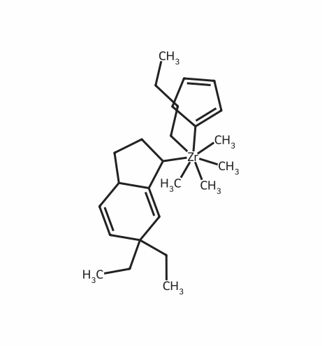 CCC[CH2][Zr]([CH3])([CH3])([CH3])([CH3])([C]1=CC=CC1)[CH]1CCC2C=CC(CC)(CC)C=C21